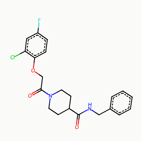 O=C(NCc1ccccc1)C1CCN(C(=O)COc2ccc(F)cc2Cl)CC1